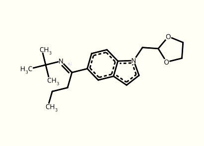 CCC/C(=N\C(C)(C)C)c1ccc2c(ccn2CC2OCCO2)c1